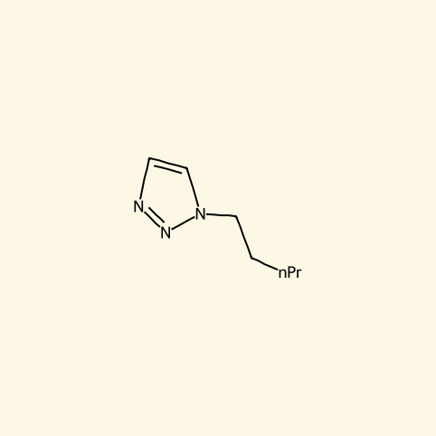 CCCCCn1ccnn1